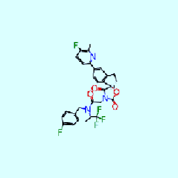 Cc1nc(-c2ccc3c(c2)CC[C@@]32OC(=O)N(CC(=O)N(Cc3ccc(F)cc3)C(C)C(F)(F)F)C2=O)ccc1F